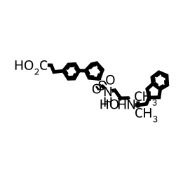 CC(C)(CC1Cc2ccccc2C1)NCC(O)CNS(=O)(=O)c1cccc(-c2ccc(CCC(=O)O)cc2)c1